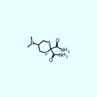 CN(C)C1CSC(C(N)=O)(C(N)=O)SC1